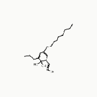 CCCCCCCCCC1=CC(C=NO)C(O)(O)C(CCC)=C1